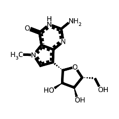 Cn1cc([C@@H]2O[C@H](CO)[C@@H](O)[C@H]2O)c2nc(N)[nH]c(=O)c21